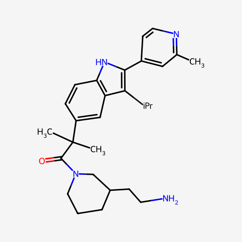 Cc1cc(-c2[nH]c3ccc(C(C)(C)C(=O)N4CCCC(CCN)C4)cc3c2C(C)C)ccn1